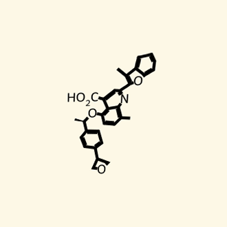 Cc1c(-c2cc(C(=O)O)c3c(O[C@H](C)c4ccc(C5COC5)cc4)ccc(C)c3n2)oc2ccccc12